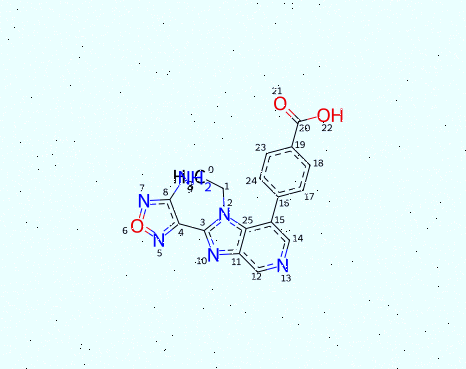 CCn1c(-c2nonc2N)nc2cncc(-c3ccc(C(=O)O)cc3)c21